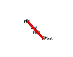 CCCCCN(C)CCCCCCCCCCCCCCCC(=O)NCCCCCSSCCCCCNC(=O)CCCCCCCCCCCCCCCN(CC)CC